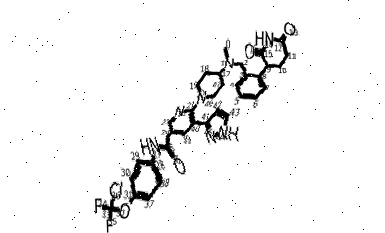 CN(Cc1ccccc1C1CCC(=O)NC1=O)C1CCN(c2ncc(C(=O)Nc3ccc(OC(F)(F)Cl)cc3)cc2-c2cc[nH]n2)CC1